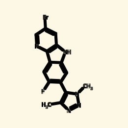 Cc1nnn(C)c1-c1cc2[nH]c3cc(Br)cnc3c2cc1F